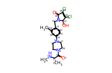 CN[C@@H](C)C(=O)N1CCN(c2ccc(CN3C(=O)C(Cl)=C(Cl)C3O)c(C)c2)CC1